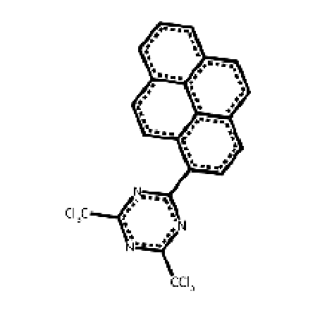 ClC(Cl)(Cl)c1nc(-c2ccc3ccc4cccc5ccc2c3c45)nc(C(Cl)(Cl)Cl)n1